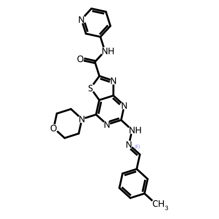 Cc1cccc(/C=N/Nc2nc(N3CCOCC3)c3sc(C(=O)Nc4cccnc4)nc3n2)c1